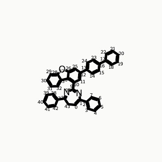 C1=C(c2ccccc2)N=C(c2cc(-c3ccc(-c4ccccc4)cc3)cc3oc4ccccc4c23)N=C(c2ccccc2)C1